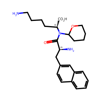 NCCCC[C@@H](C(=O)O)N(C(=O)[C@@H](N)Cc1ccc2ccccc2c1)C1CCCCO1